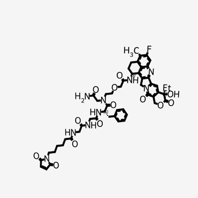 CC[C@@]1(O)C(=O)OCc2c1cc1n(c2=O)Cc2c-1nc1cc(F)c(C)c3c1c2[C@@H](NC(=O)COCCN(CC(N)=O)C(=O)[C@H](Cc1ccccc1)NC(=O)CNC(=O)CNC(=O)CCCCCN1C(=O)C=CC1=O)CC3